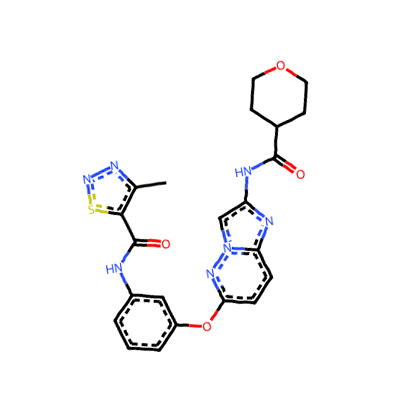 Cc1nnsc1C(=O)Nc1cccc(Oc2ccc3nc(NC(=O)C4CCOCC4)cn3n2)c1